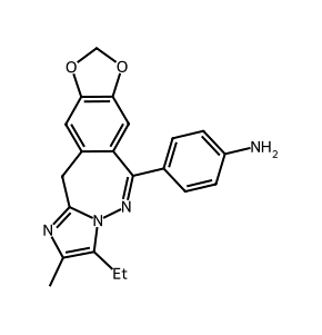 CCc1c(C)nc2n1N=C(c1ccc(N)cc1)c1cc3c(cc1C2)OCO3